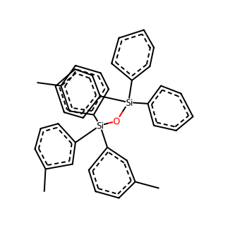 Cc1cccc([Si](O[Si](c2ccccc2)(c2ccccc2)c2ccccc2)(c2cccc(C)c2)c2cccc(C)c2)c1